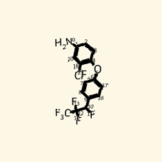 Nc1ccc(Oc2ccc(C(F)C(F)(F)C(F)(F)F)cc2)c(C(F)(F)F)c1